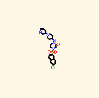 O=C1CN(S(=O)(=O)c2ccc3cc(Cl)ccc3c2)CCN1N=C1CCN(c2cccnc2)CC1